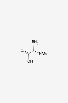 BC(NC)C(=O)O